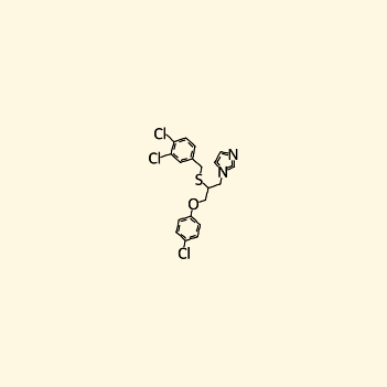 Clc1ccc(OCC(Cn2ccnc2)SCc2ccc(Cl)c(Cl)c2)cc1